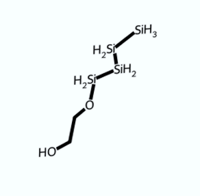 OCCO[SiH2][SiH2][SiH2][SiH3]